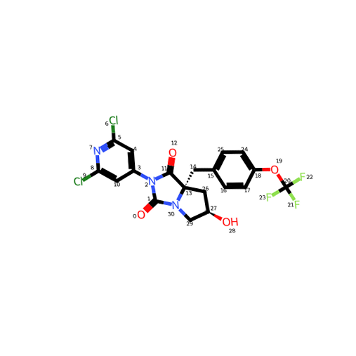 O=C1N(c2cc(Cl)nc(Cl)c2)C(=O)[C@@]2(Cc3ccc(OC(F)(F)F)cc3)C[C@@H](O)CN12